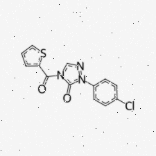 O=C(c1cccs1)n1cnn(-c2ccc(Cl)cc2)c1=O